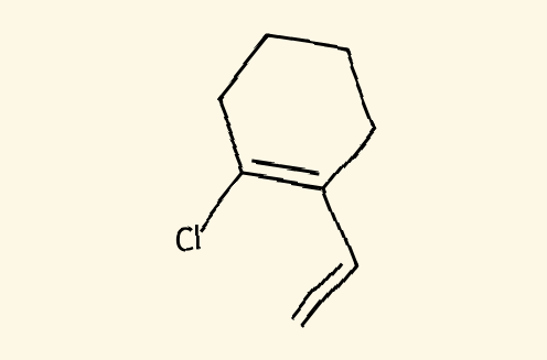 C=CC1=C(Cl)CCCC1